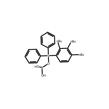 CCCCc1ccc([Si](OB(O)O)(c2ccccc2)c2ccccc2)c(CCCC)c1CCCC